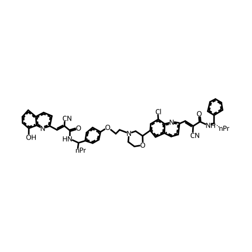 CCCC(NC(=O)/C(C#N)=C/c1ccc2cccc(O)c2n1)c1ccc(OCCN2CCOC(c3cc(Cl)c4nc(/C=C(\C#N)C(=O)N[C@@H](CCC)c5ccccc5)ccc4c3)C2)cc1